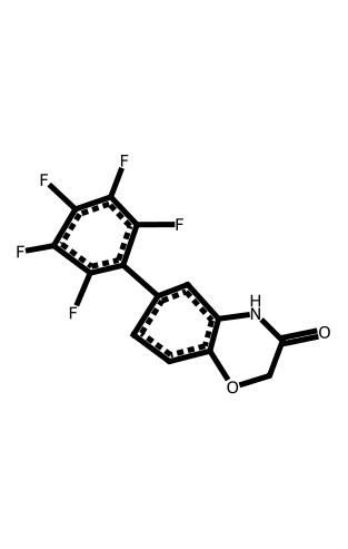 O=C1COc2ccc(-c3c(F)c(F)c(F)c(F)c3F)cc2N1